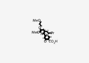 COCCCOc1cc2c(nc1OC)-c1cc(=O)c(C(=O)O)cn1C(C(C)C)C2